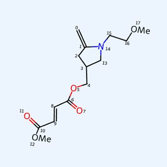 C=C1CC(COC(=O)/C=C/C(=O)OC)CN1CCOC